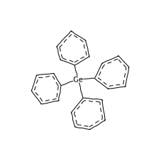 c1cc[c]([Ge]([c]2ccccc2)([c]2ccccc2)[c]2ccccc2)cc1